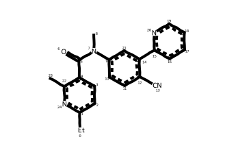 CCc1ccc(C(=O)N(C)c2ccc(C#N)c(-c3ccccn3)c2)c(C)n1